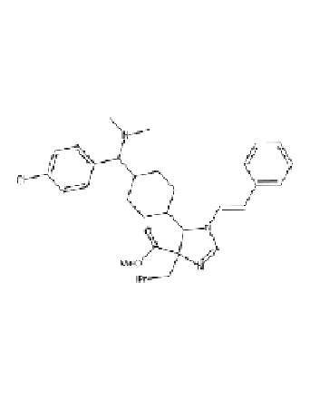 COC(=O)C1(CC(C)C)N=CN(C=Cc2ccccc2)C1C1CCC(C(c2ccc(Cl)cc2)N(C)C)CC1